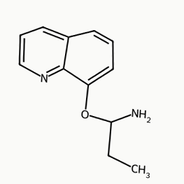 CCC(N)Oc1cccc2cccnc12